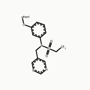 CCCCCOc1cccc(N(Cc2cncnc2)S(=O)(=O)CC(F)(F)F)c1